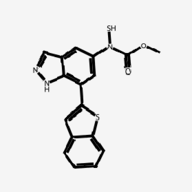 COC(=O)N(S)c1cc(-c2cc3ccccc3s2)c2[nH]ncc2c1